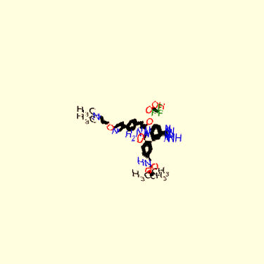 CN(C)CCCOc1ccc(-c2ccc(C[C@H](N)C(=O)N(c3ccc(-c4nn[nH]n4)cc3)C(=O)[C@H]3CC[C@H](CNC(=O)OC(C)(C)C)CC3)cc2)cn1.O=C(O)C(F)(F)F